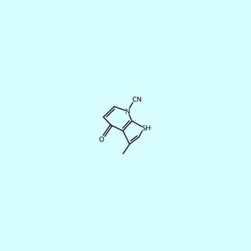 CC1=C[SH]c2c1c(=O)ccn2C#N